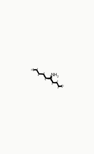 NC(CCCI)CCCCI